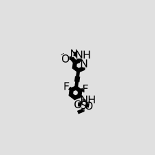 CCS(=O)(=O)Nc1ccc(F)c(C#Cc2cnc3[nH]nc(OC)c3c2)c1F